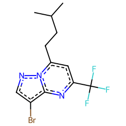 CC(C)CCc1cc(C(F)(F)F)nc2c(Br)cnn12